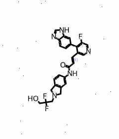 O=C(/C=C/c1cncc(F)c1-c1ccc2nc[nH]c2c1)Nc1ccc2c(c1)CN(CC(F)(F)CO)C2